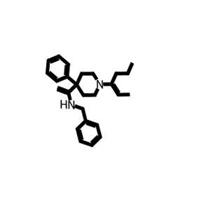 C=C(NCc1ccccc1)C1(c2ccccc2)CCN(/C(=C/C)CCC)CC1